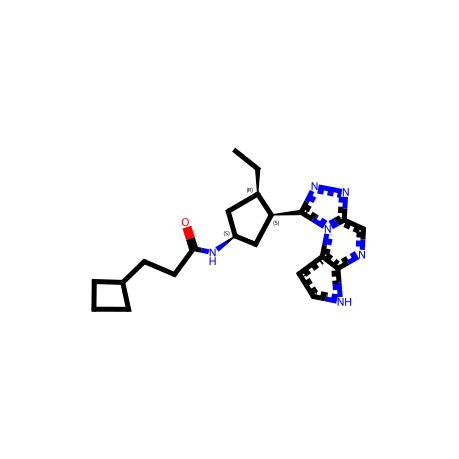 CC[C@@H]1C[C@H](NC(=O)CCC2CCC2)C[C@@H]1c1nnc2cnc3[nH]ccc3n12